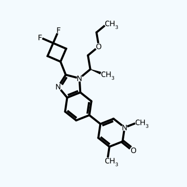 CCOC[C@@H](C)n1c(C2CC(F)(F)C2)nc2ccc(-c3cc(C)c(=O)n(C)c3)cc21